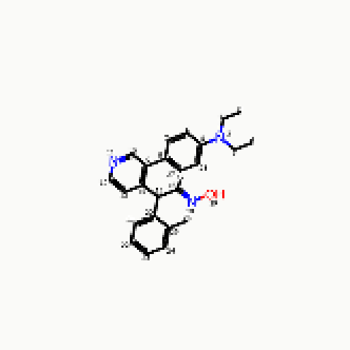 CCN(CC)c1ccc(-c2cnccc2C(C(C)=NO)c2ccccc2C)cc1